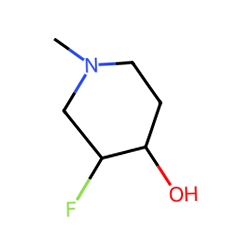 CN1CCC(O)C(F)C1